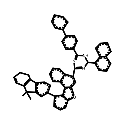 CC1(C)C2=C(CCC=C2)c2ccc(-c3cccc4oc5cc(C6=NC(c7cccc8ccccc78)NC(c7ccc(-c8ccccc8)cc7)=N6)c6ccccc6c5c34)cc21